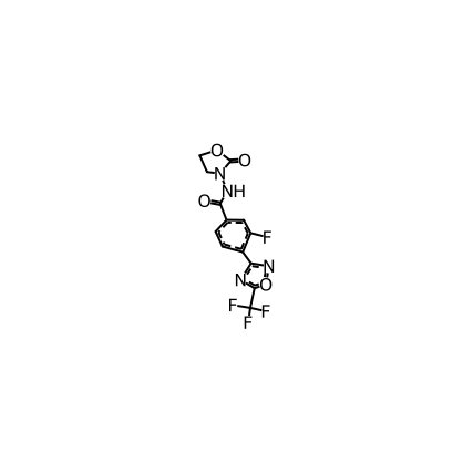 O=C(NN1CCOC1=O)c1ccc(-c2noc(C(F)(F)F)n2)c(F)c1